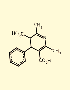 CC1=NC(C)=C(C(=O)O)C(c2ccccc2)C1C(=O)O